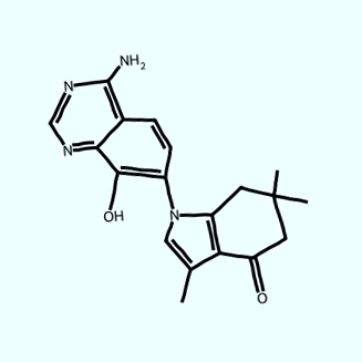 Cc1cn(-c2ccc3c(N)ncnc3c2O)c2c1C(=O)CC(C)(C)C2